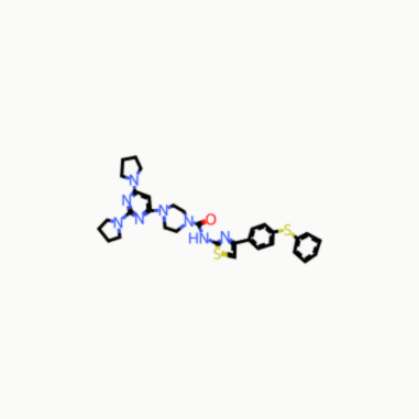 O=C(Nc1nc(-c2ccc(Sc3ccccc3)cc2)cs1)N1CCN(c2cc(N3CCCC3)nc(N3CCCC3)n2)CC1